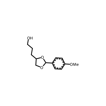 COc1ccc(C2OCC(CCCO)O2)cc1